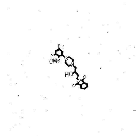 COc1c(F)cc(F)cc1N1CCN(CC(O)CCN2C(=O)c3ccccc3C2=O)CC1